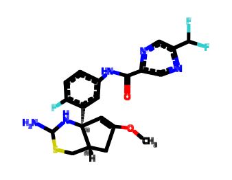 COC1=C[C@]2(c3cc(NC(=O)c4cnc(C(F)F)cn4)ccc3F)NC(N)SC[C@H]2C1